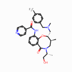 C[C@H](CO)N1C[C@H](C)[C@@H](CN(C)Cc2ccc(C(F)(F)F)cc2)Oc2c(NC(=O)c3ccncc3)cccc2C1=O